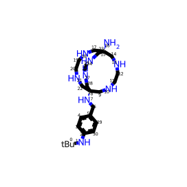 CC(C)(C)Nc1ccc(CN[C@]23CNCCNC[C@](N)(CNCCNC2)CNCCNC3)cc1